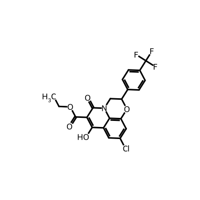 CCOC(=O)c1c(O)c2cc(Cl)cc3c2n(c1=O)CC(c1ccc(C(F)(F)F)cc1)O3